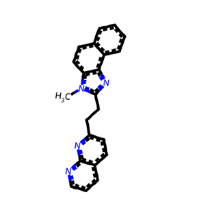 Cn1c(CCc2ccc3cccnc3n2)nc2c3ccccc3ccc21